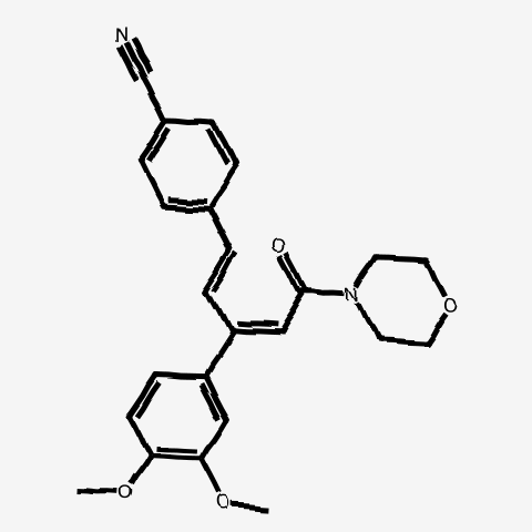 COc1ccc(C(/C=C/c2ccc(C#N)cc2)=C/C(=O)N2CCOCC2)cc1OC